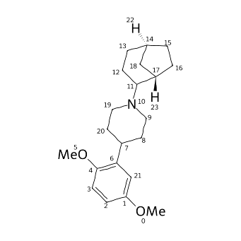 COc1ccc(OC)c(C2CCN(C3CC[C@H]4CC[C@H]3C4)CC2)c1